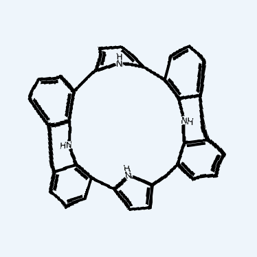 c1cc2c3ccc([nH]3)c3cccc4c5cccc(c6ccc([nH]6)c6cccc7c(c1)c2[nH]c67)c5[nH]c34